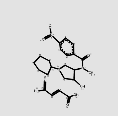 CN(C(=O)c1ccc([N+](=O)[O-])cc1)C1CN(C2CCCCC2)CC1O.O=C(O)C=CC(=O)O